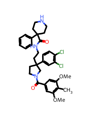 COc1cc(C(=O)N2CCC(CCNC(=O)C3(c4ccccc4)CCNCC3)(c3ccc(Cl)c(Cl)c3)C2)cc(OC)c1C